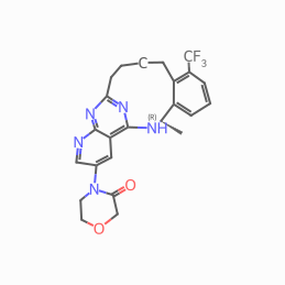 C[C@H]1Nc2nc(nc3ncc(N4CCOCC4=O)cc23)CCCCc2c1cccc2C(F)(F)F